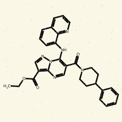 CCOC(=O)c1cnn2c(Nc3cccc4cccnc34)c(C(=O)N3CCC(c4ccccc4)CC3)cnc12